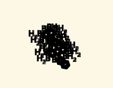 Bc1c(B)c(-c2c3c(B)c(B)c(B)c(B)c3c(-c3ccc4ccccc4c3)c3c(B)c(B)c(B)c(B)c23)c(B)c(B)c1-c1c(B)c(B)c(B)c2c(B)c(B)c(B)c(B)c12